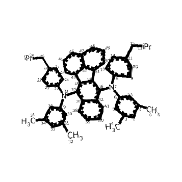 Cc1cc(C)cc(N(c2ccc(CC(C)C)cc2)c2c3c(c(N(c4ccc(CC(C)C)cc4)c4cc(C)cc(C)c4)c4ccccc24)-c2cccc4cccc-3c24)c1